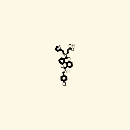 O=C(O)CCN(CCc1cccs1)C(=O)c1ccccc1-c1ccccc1C(=O)NCc1ccc(Cl)cc1